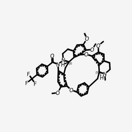 COc1cc2c3cc1Oc1ccc(cc1)C[C@H]1c4cc(c(OC)cc4CCN1C)Oc1c(OC)c(OC)cc4c1[C@H](C3)N(CC4)N2C(=O)c1ccc(C(F)(F)F)cc1